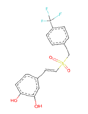 O=S(=O)(C=Cc1ccc(O)c(O)c1)Cc1ccc(C(F)(F)F)cc1